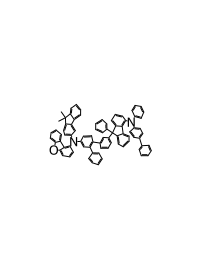 CC1(C)c2ccccc2-c2cc(N(c3ccc(-c4cccc(C5(c6ccccc6)c6ccccc6-c6c(N(c7ccccc7)c7ccc(-c8ccccc8)cc7)cccc65)c4)c(-c4ccccc4)c3)c3cccc4oc5ccccc5c34)ccc21